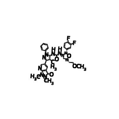 COCC[C@@H]1C[C@@H](NC(=O)Nc2c(C)c(-c3cnc4c(c3)c(=O)n(C)n4C)nn2-c2ccccc2)[C@H](c2ccc(F)c(F)c2)O1